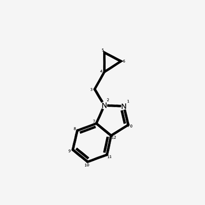 [c]1nn(CC2CC2)c2ccccc12